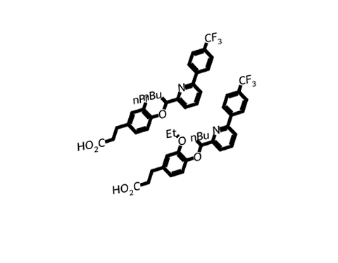 CCCCC(Oc1ccc(CCC(=O)O)cc1CCC)c1cccc(-c2ccc(C(F)(F)F)cc2)n1.CCCCC(Oc1ccc(CCC(=O)O)cc1OCC)c1cccc(-c2ccc(C(F)(F)F)cc2)n1